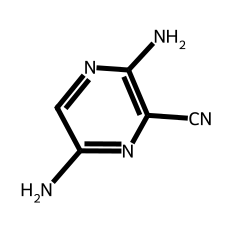 N#Cc1nc(N)cnc1N